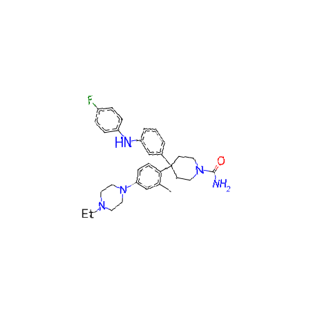 CCN1CCN(c2ccc(C3(c4cccc(Nc5ccc(F)cc5)c4)CCN(C(N)=O)CC3)c(C)c2)CC1